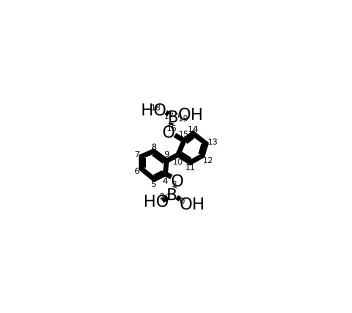 OB(O)Oc1ccccc1-c1ccccc1OB(O)O